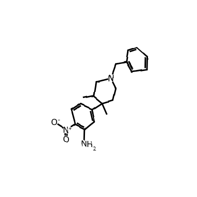 CC1CN(Cc2ccccc2)CCC1(C)c1ccc([N+](=O)[O-])c(N)c1